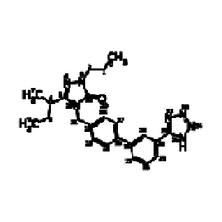 CCCn1nc(C(C)CC)n(Cc2ccc(-c3cccc(-c4nnn[nH]4)c3)cc2)c1=O